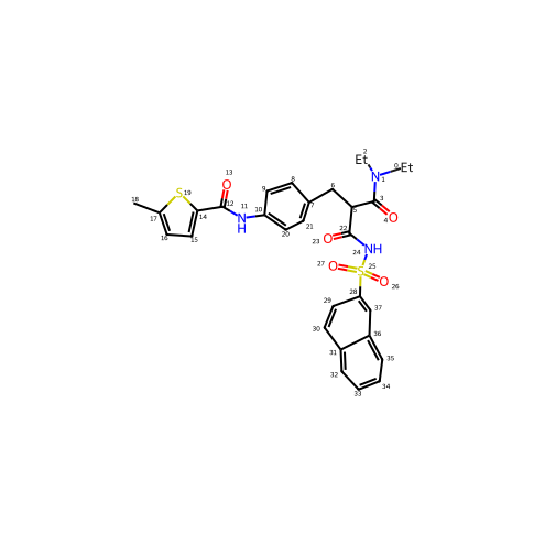 CCN(CC)C(=O)C(Cc1ccc(NC(=O)c2ccc(C)s2)cc1)C(=O)NS(=O)(=O)c1ccc2ccccc2c1